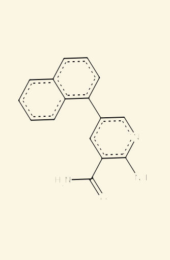 NC(=O)c1cc(-c2cccc3ccccc23)cnc1N